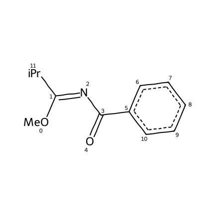 CO/C(=N\C(=O)c1ccccc1)C(C)C